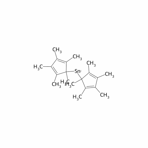 CC1=C(C)[C](C)([Sn][C]2(C)C(C)=C(C)C(C)=C2C)C(C)=C1C